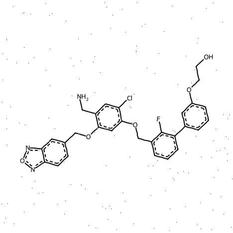 NCc1cc(Cl)c(OCc2cccc(-c3cccc(OCCO)c3)c2F)cc1OCc1ccc2nonc2c1